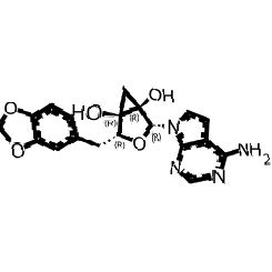 Nc1ncnc2c1ccn2[C@@H]1O[C@H](Cc2ccc3c(c2)OCO3)[C@]2(O)C[C@]12O